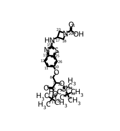 CC(C)(C)OC(=O)C(COc1ccc2nc(NC3CN(C(=O)O)C3)sc2c1)O[Si](C)(C)C(C)(C)C